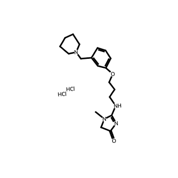 CN1CC(=O)N=C1NCCCOc1cccc(CN2CCCCC2)c1.Cl.Cl